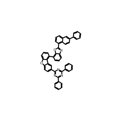 c1ccc(-c2ccc3c(-c4nc5cccc(-c6cccc7oc8ccc(-c9nc(-c%10ccccc%10)nc(-c%10ccccc%10)n9)cc8c67)c5o4)cccc3c2)cc1